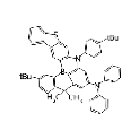 CC(C)(C)c1ccc(N2c3cc4sc5ccccc5c4cc3B3c4cc(C(C)(C)C)ccc4C(C)(C)c4cc(N(c5ccccc5)c5ccccc5)cc2c43)cc1